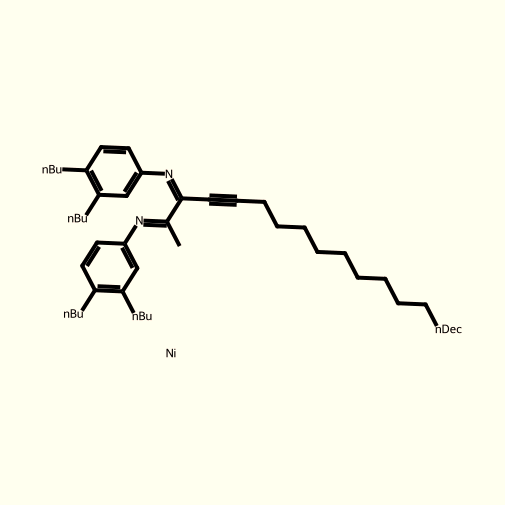 CCCCCCCCCCCCCCCCCCCC#CC(=Nc1ccc(CCCC)c(CCCC)c1)C(C)=Nc1ccc(CCCC)c(CCCC)c1.[Ni]